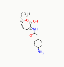 N[C@H]1CC[C@H](CC(=O)N[C@H]2CC=C[C@H](CC(=O)O)OB2O)CC1